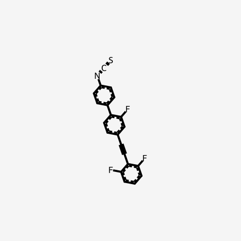 Fc1cc(C#Cc2c(F)cccc2F)ccc1-c1ccc(N=C=S)cc1